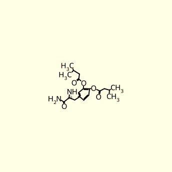 CC(C)CC(=O)Oc1ccc(C[C@H](N)C(N)=O)cc1OC(=O)CC(C)C